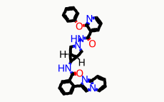 O=C(NC1[C@H]2CN(NC(=O)c3cccnc3Oc3ccccc3)C[C@@H]12)c1ccccc1-c1cn2ccccc2n1